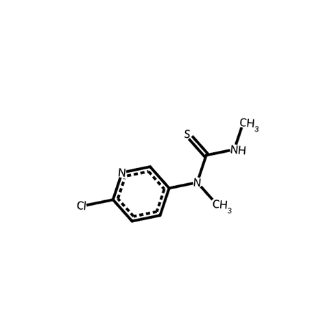 CNC(=S)N(C)c1ccc(Cl)nc1